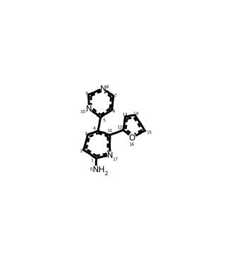 Nc1ccc(-c2ccncn2)c(-c2ccco2)n1